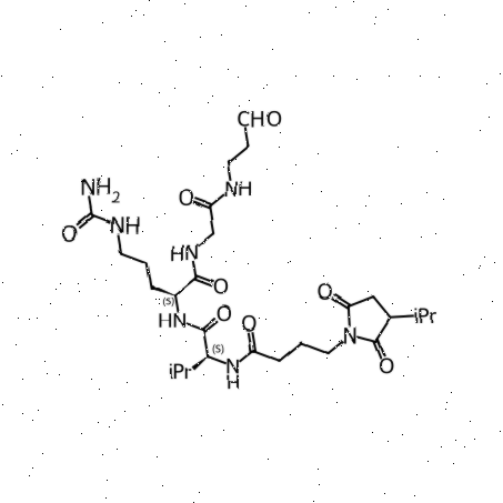 CC(C)C1CC(=O)N(CCCC(=O)N[C@H](C(=O)N[C@@H](CCCNC(N)=O)C(=O)NCC(=O)NCCC=O)C(C)C)C1=O